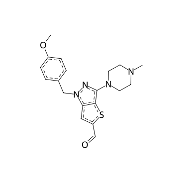 COc1ccc(Cn2nc(N3CCN(C)CC3)c3sc(C=O)cc32)cc1